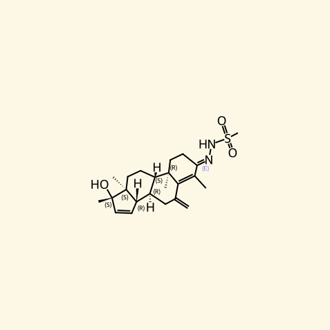 C=C1C[C@@H]2[C@H](CC[C@@]3(C)[C@H]2C=C[C@]3(C)O)[C@@]2(C)CC/C(=N\NS(C)(=O)=O)C(C)=C12